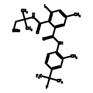 CSCC(C)(C)NC(=O)c1c(I)cc(C)cc1C(=O)Nc1ccc(C(F)(C(F)(F)F)C(F)(F)F)cc1C